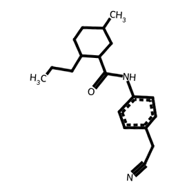 CCCC1CCC(C)CC1C(=O)Nc1ccc(CC#N)cc1